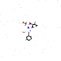 CCCCOC(=O)C(C)(C)n1c(=O)c2c(C)c(C(=O)OCC)sc2n(C[C@H](OCC#N)c2cc(F)ccc2OC)c1=O